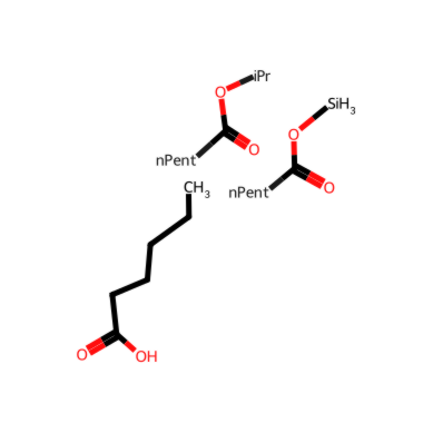 CCCCCC(=O)O.CCCCCC(=O)OC(C)C.CCCCCC(=O)O[SiH3]